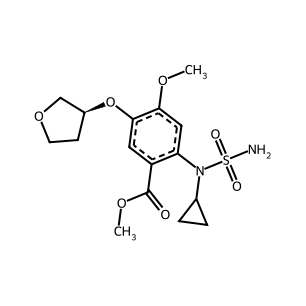 COC(=O)c1cc(O[C@H]2CCOC2)c(OC)cc1N(C1CC1)S(N)(=O)=O